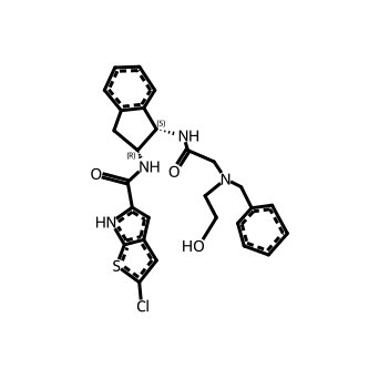 O=C(CN(CCO)Cc1ccccc1)N[C@H]1c2ccccc2C[C@H]1NC(=O)c1cc2cc(Cl)sc2[nH]1